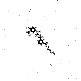 C/C(=N\OCCN)c1cccc(C(C)(C)OC(=O)Nc2ccc(Cl)c([N+](=O)[O-])c2)c1